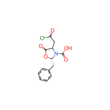 O=C(Cl)CC1C(=O)O[C@@H](Cc2ccccc2)N1C(=O)O